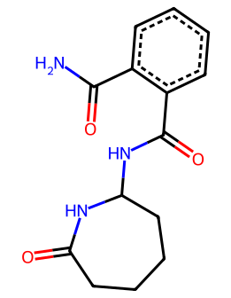 NC(=O)c1ccccc1C(=O)NC1CCCCC(=O)N1